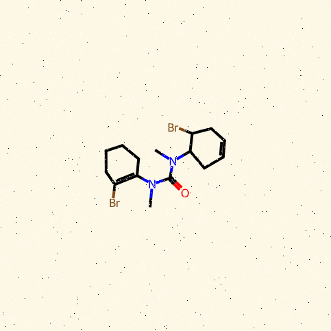 CN(C(=O)N(C)C1CC=CCC1Br)C1=C(Br)CCCC1